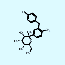 CCc1ccc(Cc2cc([C@]3(C)O[C@@H](CO)[C@@H](O)[C@H](O)[C@H]3O)ccc2C)cc1